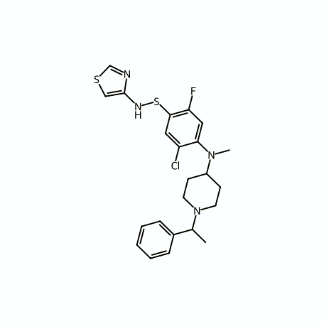 CC(c1ccccc1)N1CCC(N(C)c2cc(F)c(SNc3cscn3)cc2Cl)CC1